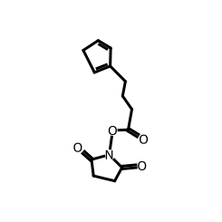 O=C(CCCC1=CCC=C1)ON1C(=O)CCC1=O